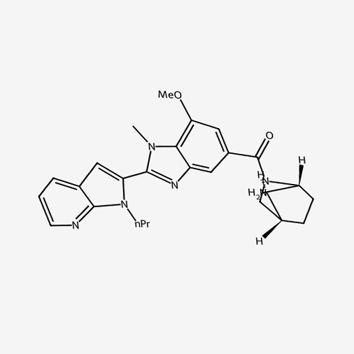 CCCn1c(-c2nc3cc(C(=O)N4C[C@H]5CC[C@@H]4[C@@H]5N)cc(OC)c3n2C)cc2cccnc21